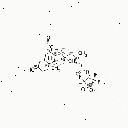 C[C@H](CCC(=O)OC(C(F)(F)F)C(F)(F)S(=O)(=O)O)[C@H]1CC[C@H]2[C@@H]3[C@H](OC=O)CC4C[C@H](O)CC[C@]4(C)[C@H]3CC[C@]12C